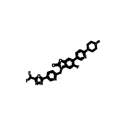 CN1CCN(c2ccc(-c3cc4oc(=O)n(Cc5ccc(-c6nnc(C(F)F)o6)cn5)c4cc3F)cn2)CC1